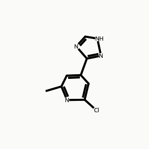 Cc1cc(-c2nc[nH]n2)cc(Cl)n1